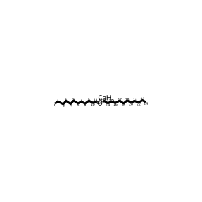 CCCCCCCCCCCCOCCCCCCCCCCCC.[CaH2]